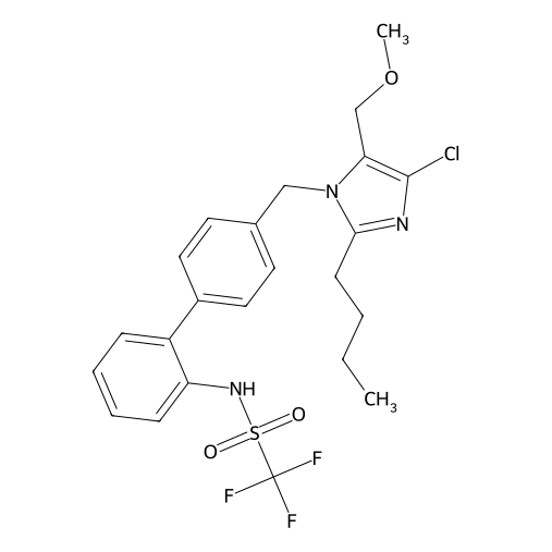 CCCCc1nc(Cl)c(COC)n1Cc1ccc(-c2ccccc2NS(=O)(=O)C(F)(F)F)cc1